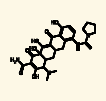 C=C(Nc1ccc(O)c2c1CC1CC3C(N(C)C)C(O)=C(C(N)=O)C(=O)C3(O)C(O)=C1C2=O)N1CCCC1